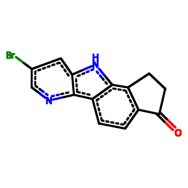 O=C1CCc2c1ccc1c2[nH]c2cc(Br)cnc21